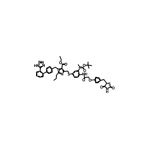 CCCc1nc(CSc2ccc(NC(=O)COc3ccc(CC4SC(=O)NC4=O)cc3)c(N(C)C(=O)OC(C)(C)C)c2)c(C(=O)OCC)n1Cc1ccc(-c2ccccc2-c2nnn[nH]2)cc1